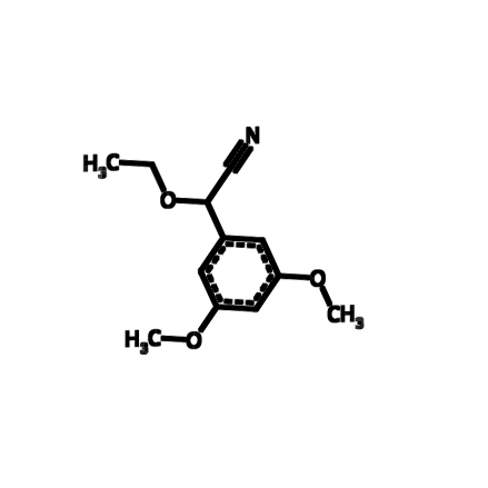 CCOC(C#N)c1cc(OC)cc(OC)c1